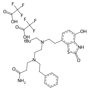 CC(C)(C)CN(CCc1ccc(O)c2[nH]c(=O)sc12)CCN(CCC(N)=O)CCc1ccccc1.O=C(O)C(F)(F)F.O=C(O)C(F)(F)F